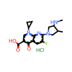 CNC1CN(c2nc3c(cc2F)c(=O)c(C(=O)O)cn3C2CC2)CC1C.Cl